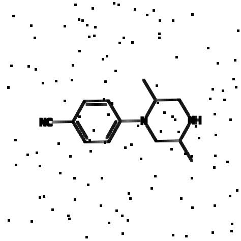 CC1CN(c2ccc(C#N)cc2)C(C)CN1